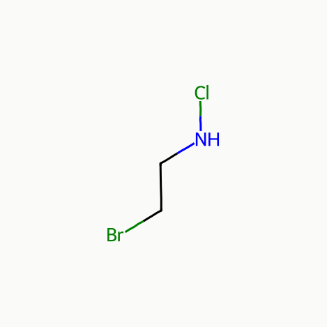 ClNCCBr